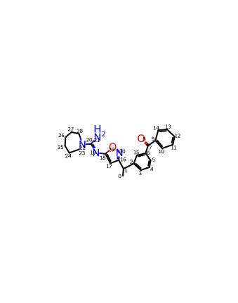 CC(c1cccc(C(=O)c2ccccc2)c1)c1cc(/N=C(\N)N2CCCCCC2)on1